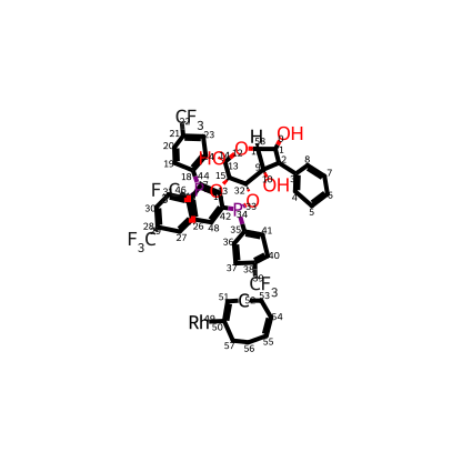 OC1C(c2ccccc2)[C@@]2(O)[C@@H]1O[C@@H](O)[C@H](OP(c1ccc(C(F)(F)F)cc1)c1ccc(C(F)(F)F)cc1)[C@H]2OP(c1ccc(C(F)(F)F)cc1)c1ccc(C(F)(F)F)cc1.[Rh]/[C]1=C/CC/C=C\CC1